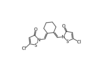 O=c1cc(Cl)sn1C=C1CCCCC1=Cn1sc(Cl)cc1=O